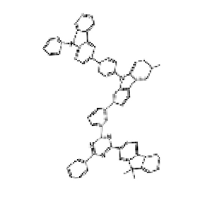 CC1C=c2c(n(-c3ccc(-c4ccc5c(c4)c4ccccc4n5-c4ccccc4)cc3)c3cc(-c4cccc(-c5nc(-c6ccccc6)nc(-c6ccc7c(c6)C(C)(C)c6ccccc6-7)n5)c4)ccc23)=CC1